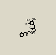 CC(C)(C)c1cc(C=C2SCN(CCNCc3ccccc3)C2=O)cc(C(C)(C)C)c1O.Cl